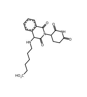 O=C(O)CCCCCNC1C(=O)N(C2CCC(=O)NC2=O)C(=O)c2ccccc21